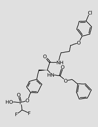 O=C(N[C@@H](Cc1ccc(OP(=O)(O)C(F)F)cc1)C(=O)NCCCOc1ccc(Cl)cc1)OCc1ccccc1